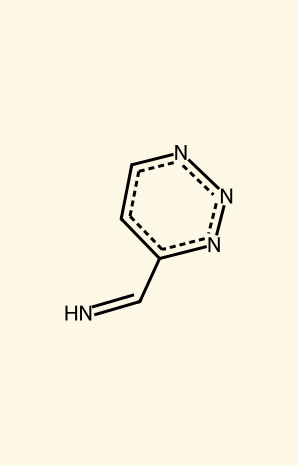 N=Cc1ccnnn1